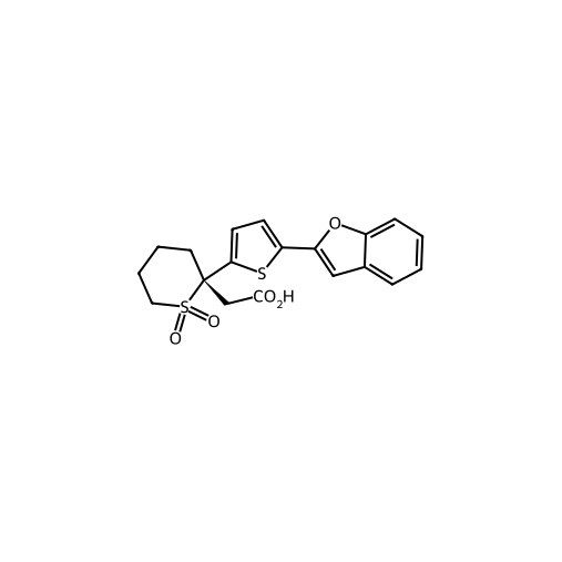 O=C(O)C[C@]1(c2ccc(-c3cc4ccccc4o3)s2)CCCCS1(=O)=O